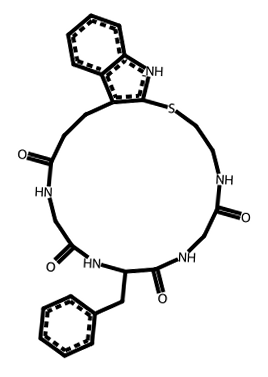 O=C1CCc2c([nH]c3ccccc23)SCCNC(=O)CNC(=O)C(Cc2ccccc2)NC(=O)CN1